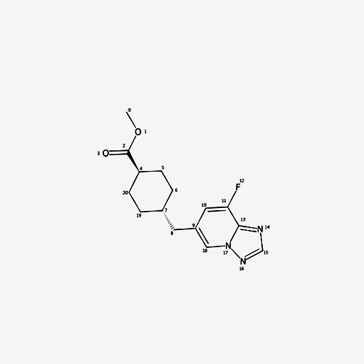 COC(=O)[C@H]1CC[C@H](Cc2cc(F)c3ncnn3c2)CC1